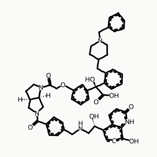 O=C(c1ccc(CNC[C@H](O)c2ccc(O)c3[nH]c(=O)ccc23)cc1)N1C[C@H]2CCN(C(=O)COc3cccc([C@@](O)(C(=O)O)c4ccccc4CC4CCN(Cc5ccccc5)CC4)c3)[C@H]2C1